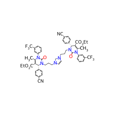 CCOC(=O)C1=C(C)N(c2cccc(C(F)(F)F)c2)C(=O)N(CCCN2C=CN(CCCN3C(=O)N(c4cccc(C(F)(F)F)c4)C(C)=C(C(=O)OCC)[C@H]3c3ccc(C#N)cc3)C2)[C@@H]1c1ccc(C#N)cc1